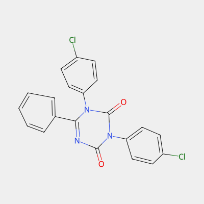 O=c1nc(-c2ccccc2)n(-c2ccc(Cl)cc2)c(=O)n1-c1ccc(Cl)cc1